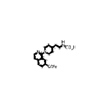 COc1ccc2ccnc(N3CCC(CCNC(=O)O)CC3)c2c1